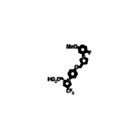 COc1ccc(F)c(N2CCC(COc3ccc(N4C[C@H](C(F)(F)F)C[C@@H]4CC(=O)O)cc3)C2)c1